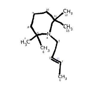 C/C=C/CN1C(C)(C)CCCC1(C)C